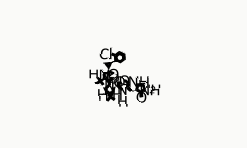 CC(C)(C)C(NC(=O)[C@@H]1C[C@H]1c1ccccc1Cl)C(=O)N1C[C@H]2[C@@H]([C@H]1C(=O)NC(C[C@@H]1CCNC1=O)C(N)=O)C2(C)C